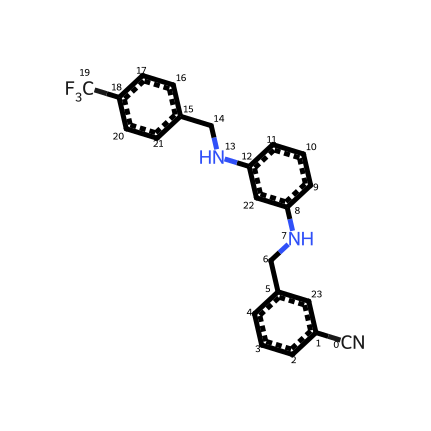 N#Cc1cccc(CNc2cccc(NCc3ccc(C(F)(F)F)cc3)c2)c1